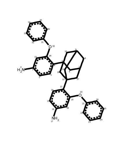 Nc1ccc(C23CC4CC(C2)CC(c2ccc(N)cc2Oc2ccccc2)(C4)C3)c(Oc2ccccc2)c1